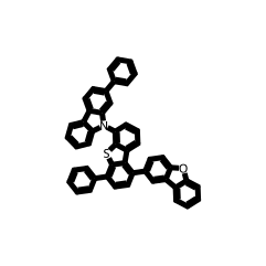 c1ccc(-c2ccc3c4ccccc4n(-c4cccc5c4sc4c(-c6ccccc6)ccc(-c6ccc7oc8ccccc8c7c6)c45)c3c2)cc1